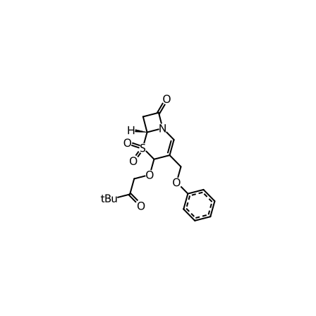 CC(C)(C)C(=O)COC1C(COc2ccccc2)=CN2C(=O)C[C@H]2S1(=O)=O